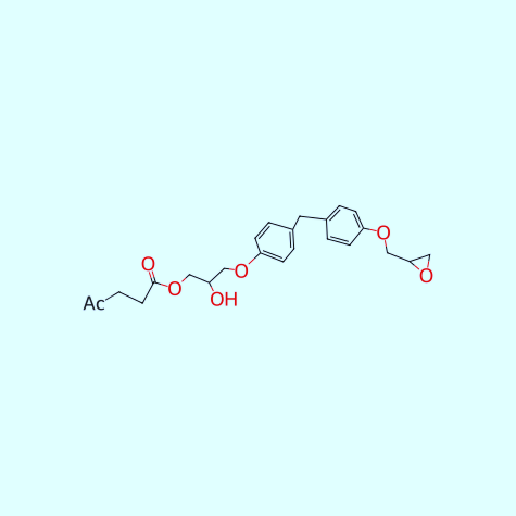 CC(=O)CCC(=O)OCC(O)COc1ccc(Cc2ccc(OCC3CO3)cc2)cc1